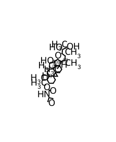 C[C@@H]1CC(C(O)C(C)(C)O)OC2[C@H]1C1(C)CCC34CC35CCC(OC(=O)NC3COC3)C(C)(C)[C@@H]5CCC4[C@]1(C)[C@H]2O